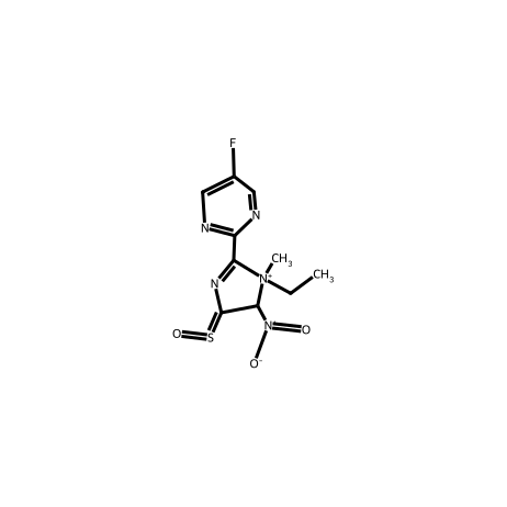 CC[N+]1(C)C(c2ncc(F)cn2)=NC(=S=O)C1[N+](=O)[O-]